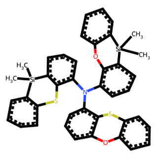 C[Si]1(C)c2ccccc2Oc2c(N(c3cccc4c3Sc3ccccc3O4)c3cccc4c3Sc3ccccc3[Si]4(C)C)cccc21